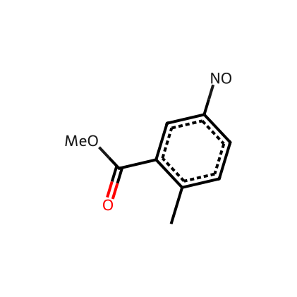 COC(=O)c1cc(N=O)ccc1C